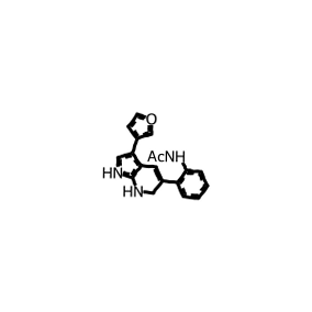 CC(=O)Nc1ccccc1C1=Cc2c(-c3ccoc3)c[nH]c2NC1